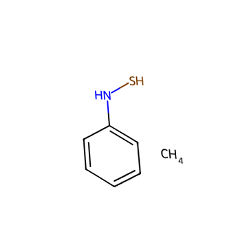 C.SNc1ccccc1